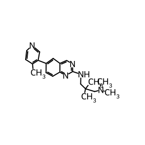 Cc1ccncc1-c1ccc2nc(NCC(C)(C)CN(C)C)ncc2c1